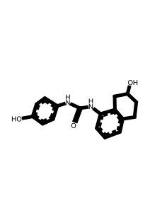 O=C(Nc1ccc(O)cc1)Nc1cccc2c1CC(O)CC2